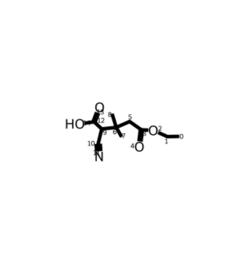 CCOC(=O)CC(C)(C)C(C#N)C(=O)O